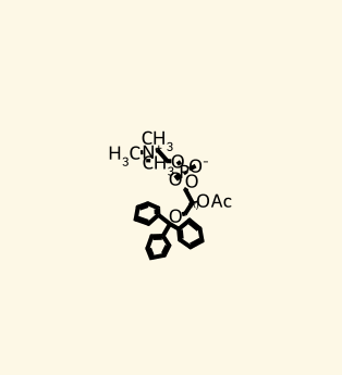 CC(=O)O[C@H](COC(c1ccccc1)(c1ccccc1)c1ccccc1)COP(=O)([O-])OCC[N+](C)(C)C